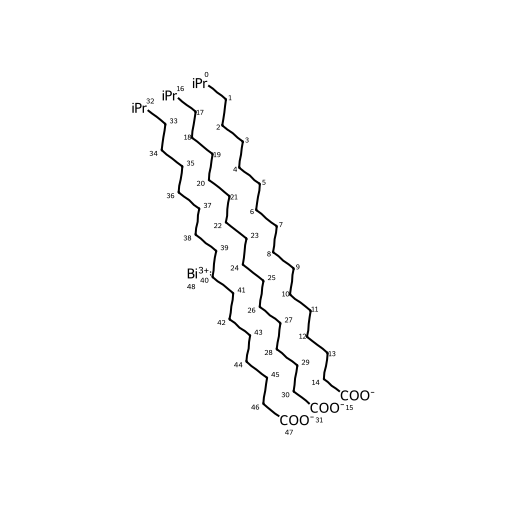 CC(C)CCCCCCCCCCCCCCC(=O)[O-].CC(C)CCCCCCCCCCCCCCC(=O)[O-].CC(C)CCCCCCCCCCCCCCC(=O)[O-].[Bi+3]